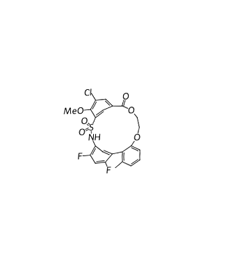 COc1c(Cl)cc2cc1S(=O)(=O)Nc1cc(c(F)cc1F)-c1c(C)cccc1OCCOC2=O